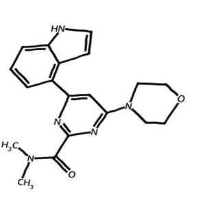 CN(C)C(=O)c1nc(-c2cccc3[nH]ccc23)cc(N2CCOCC2)n1